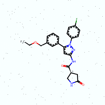 O=C1C[C@H](C(=O)Nc2cc(-c3cccc(COCC(F)(F)F)c3)n(-c3ccc(F)cc3)n2)CN1